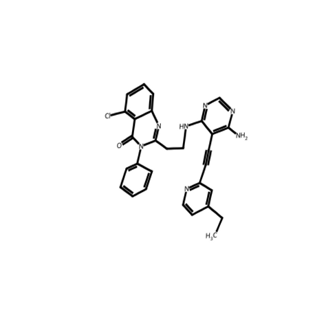 CCc1ccnc(C#Cc2c(N)ncnc2NCCc2nc3cccc(Cl)c3c(=O)n2-c2ccccc2)c1